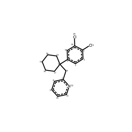 Clc1ccc(C2([C]c3ccccn3)CCCCC2)cc1Cl